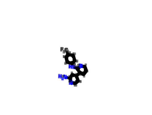 Nc1cc(-c2cccnc2Nc2ccc(C(F)(F)F)cc2)ccn1